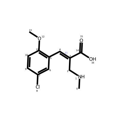 CNC/C(=C\c1cc(Cl)ccc1OC)C(=O)O